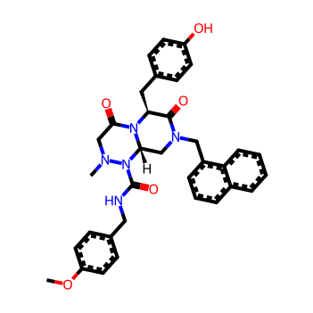 COc1ccc(CNC(=O)N2[C@H]3CN(Cc4cccc5ccccc45)C(=O)[C@H](Cc4ccc(O)cc4)N3C(=O)CN2C)cc1